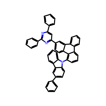 c1ccc(-c2ccc3c(c2)c2ccccc2n3-c2cccc3c4ccccc4c4cc(-c5cc(-c6ccccc6)nc(-c6ccccc6)n5)ccc4c23)cc1